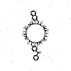 CC1NC(=O)C(C)(C)NC(=O)C(Cc2ccc3ccccc3c2)NC(=O)C(C)(C)NC(=O)NC(=O)C(C)(C)NC(=O)C(Cc2ccc(C(=O)c3ccccc3)cc2)NC(=O)C(C)(C)NC1=O